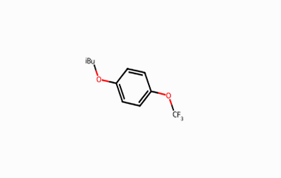 CCC(C)Oc1ccc(OC(F)(F)F)cc1